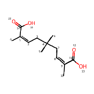 CC(=CCC(C)(C)CC=C(C)C(=O)O)C(=O)O